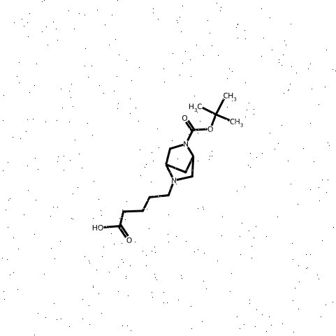 CC(C)(C)OC(=O)N1CC2CC1CN2CCCCC(=O)O